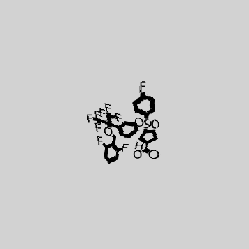 O=C(O)[C@@H]1CC[C@](c2ccc(C(OCc3c(F)cccc3F)(C(F)(F)F)C(F)(F)F)cc2)(S(=O)(=O)c2ccc(F)cc2)C1